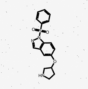 O=S(=O)(c1ccccc1)n1ncc2cc(OC3CCNC3)ccc21